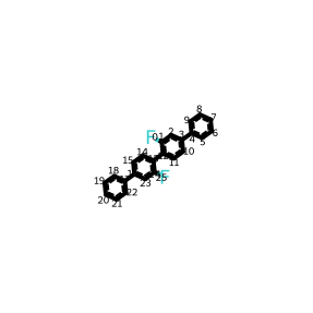 Fc1cc(-c2ccccc2)ccc1-c1ccc(-c2ccccc2)cc1F